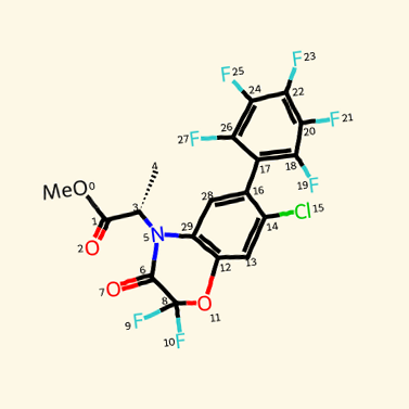 COC(=O)[C@H](C)N1C(=O)C(F)(F)Oc2cc(Cl)c(-c3c(F)c(F)c(F)c(F)c3F)cc21